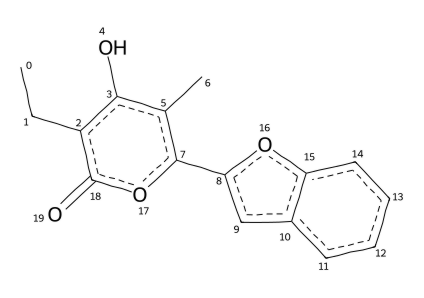 CCc1c(O)c(C)c(-c2cc3ccccc3o2)oc1=O